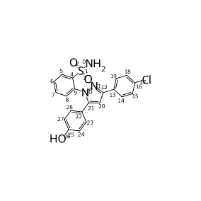 NS(=O)(=O)c1ccccc1-n1nc(-c2ccc(Cl)cc2)cc1-c1ccc(O)cc1